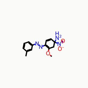 COC1=C(N=Nc2cccc(C)c2)C=CC(N)([N+](=O)[O-])C1